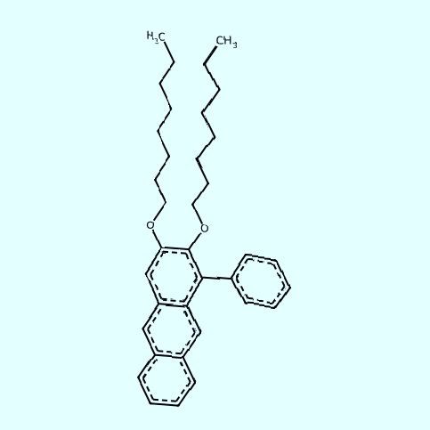 CCCCCCCCOc1cc2cc3ccccc3cc2c(-c2ccccc2)c1OCCCCCCCC